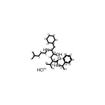 CC(C)CCCNC(CC1CCCCC1)C(O)CC(C(=O)NC(C)c1ccccc1)C(C)C.Cl